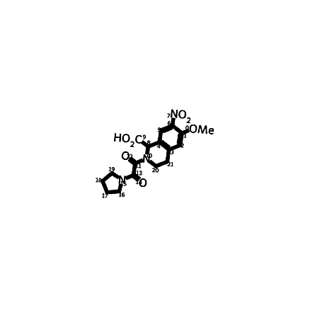 COc1cc2c(cc1[N+](=O)[O-])C(C(=O)O)N(C(=O)C(=O)N1CCCC1)CC2